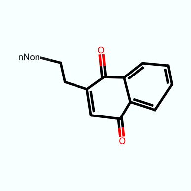 CCCCCCCCCCCC1=CC(=O)c2ccccc2C1=O